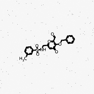 Cc1cccc(S(=O)(=O)NCc2cc(=O)c(OCc3ccccc3)c(C=O)o2)c1